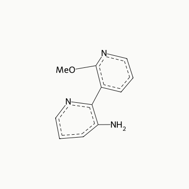 COc1ncccc1-c1ncccc1N